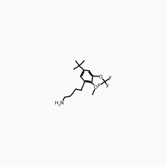 COc1c(CCCCN)cc(C(C)(C)C)cc1OC(F)(F)F